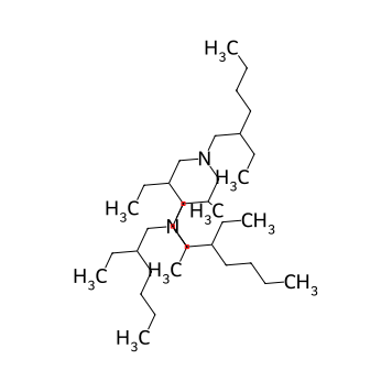 CCCCC(CC)CN(CC(C)CN(CC(CC)CCCC)CC(CC)CCCC)CC(CC)CCCC